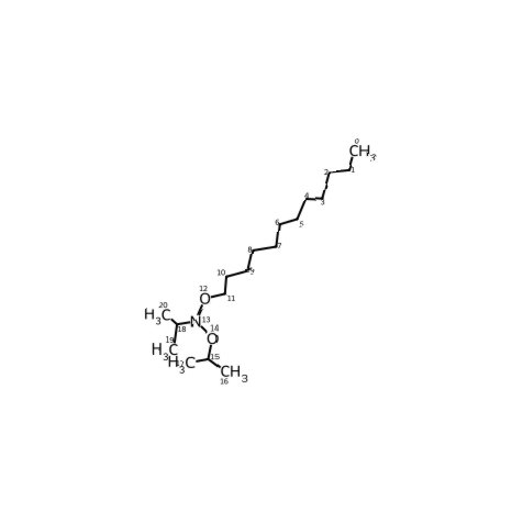 CCCCCCCCCCCCON(OC(C)C)C(C)C